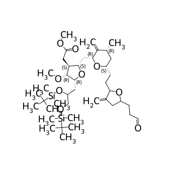 C=C1CC(CCC=O)OC1CC[C@H]1C[C@@H](C)C(=C)[C@@H](C[C@@H]2O[C@H](CC(CO[Si](C)(C)C(C)(C)C)O[Si](C)(C)C(C)(C)C)[C@H](OC)[C@H]2CC(=O)OC)O1